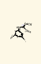 CS/C(=N\C#N)Nc1cc(F)cc(Br)c1